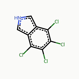 Clc1c(Cl)c(Cl)c2c[nH]cc2c1Cl